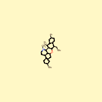 Cc1c2c(c(CC(C)(C)C)c3ccc(C(C)C)cc13)Oc1cc3cc(C(C)(C)C)ccc3c3cc[n+](C)c-2c13